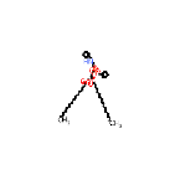 CCCCCCCCCCCCCCCCCC(=O)OC[C@H](CO[P@](=O)(OCCNCc1ccccc1)OCc1ccccc1)OC(=O)CCCCCCCCCCCCCCCCC